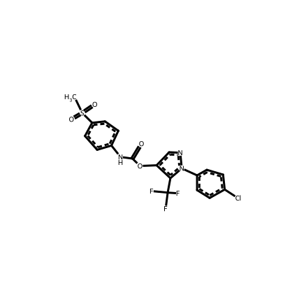 CS(=O)(=O)c1ccc(NC(=O)Oc2cnn(-c3ccc(Cl)cc3)c2C(F)(F)F)cc1